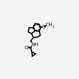 COc1ccc2c3c1CCC(CNC(=O)C1CC1)C3CC2